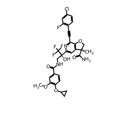 COc1cc(C(=O)NC[C@](O)(c2cc3c(c(C#Cc4ccc(Cl)cc4F)n2)OC[C@]3(C)C(N)=O)C(F)(F)F)ccc1OC1CC1